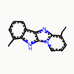 Cc1cccc2c1[nH]c1c2nc2c(C)cccn21